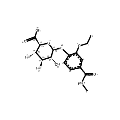 CCOc1cc(C(=O)NC)ccc1O[C@@H]1O[C@H](C(=O)O)[C@@H](O)[C@H](O)[C@H]1O